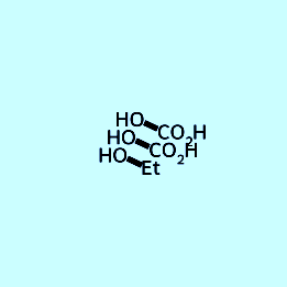 CCO.O=C(O)O.O=C(O)O